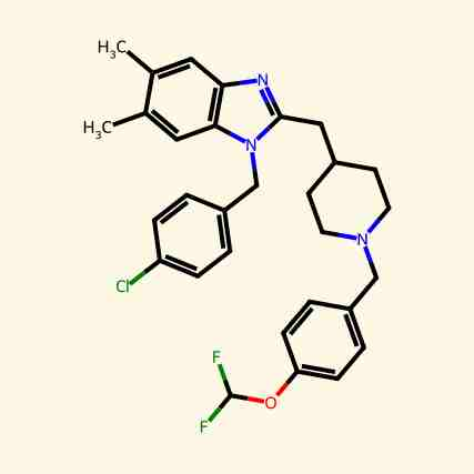 Cc1cc2nc(CC3CCN(Cc4ccc(OC(F)F)cc4)CC3)n(Cc3ccc(Cl)cc3)c2cc1C